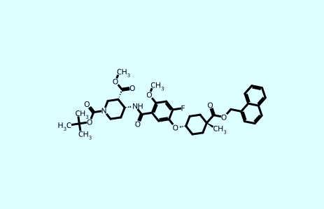 COC(=O)[C@H]1CN(C(=O)OC(C)(C)C)CC[C@H]1NC(=O)c1cc(O[C@H]2CC[C@@](C)(C(=O)OCc3cccc4ccccc34)CC2)c(F)cc1OC